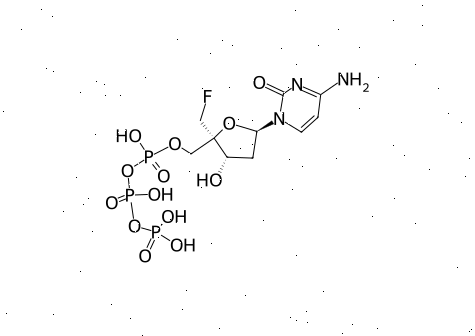 Nc1ccn([C@H]2C[C@H](O)[C@@](CF)(COP(=O)(O)OP(=O)(O)OP(=O)(O)O)O2)c(=O)n1